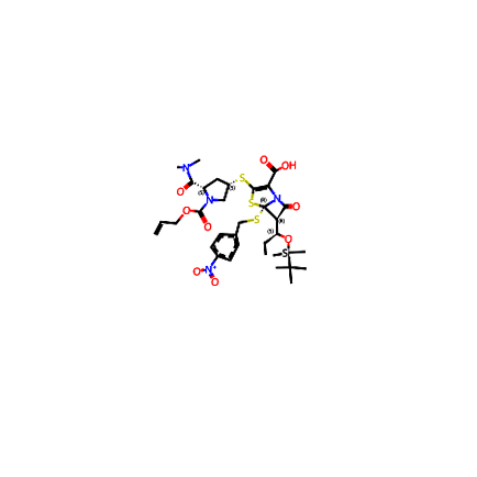 C=CCOC(=O)N1C[C@@H](SC2=C(C(=O)O)N3C(=O)[C@@H]([C@H](CC)O[Si](C)(C)C(C)(C)C)[C@@]3(SCc3ccc([N+](=O)[O-])cc3)S2)C[C@H]1C(=O)N(C)C